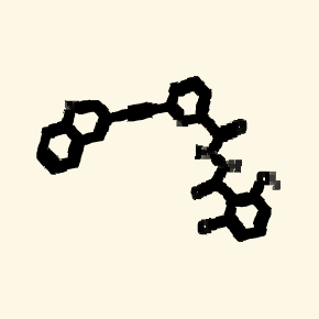 Cc1cccc(Cl)c1C(=O)NNC(=O)c1cccc(C#Cc2cnc3ccccc3c2)n1